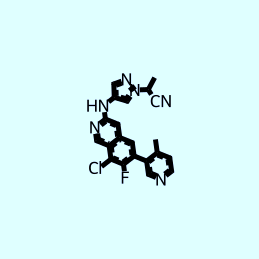 Cc1ccncc1-c1cc2cc(Nc3cnn(C(C)C#N)c3)ncc2c(Cl)c1F